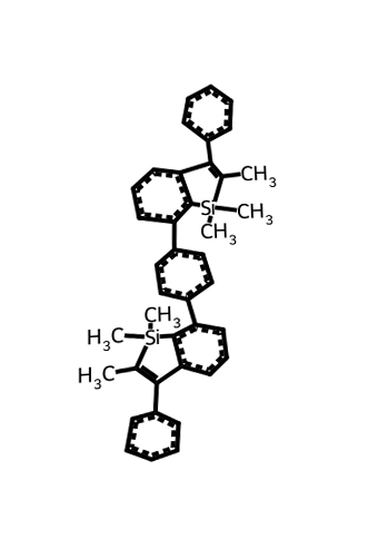 CC1=C(c2ccccc2)c2cccc(-c3ccc(-c4cccc5c4[Si](C)(C)C(C)=C5c4ccccc4)cc3)c2[Si]1(C)C